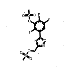 CS(=O)(=O)OCc1noc(-c2cc(F)c(F)c(OS(C)(=O)=O)c2F)n1